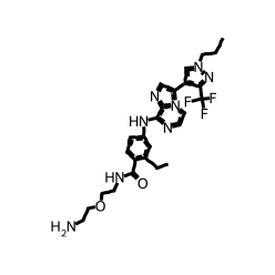 CCCn1cc(-c2cnc3c(Nc4ccc(C(=O)NCCOCCN)c(CC)c4)nccn23)c(C(F)(F)F)n1